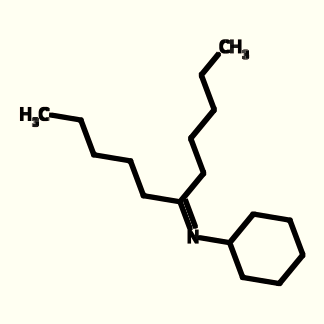 CCCCCC(CCCCC)=NC1CCCCC1